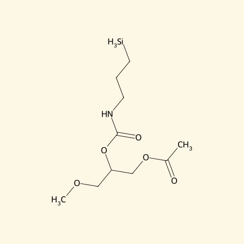 COCC(COC(C)=O)OC(=O)NCCC[SiH3]